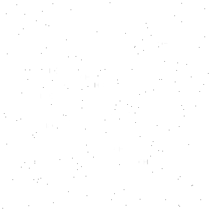 CCCC(c1ccc(O)cc1C)c1cc(C(C)(C)C)c(O)cc1C